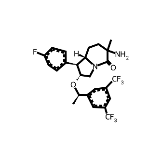 C[C@@H](O[C@H]1CN2C(=O)C(C)(N)CC[C@H]2[C@@H]1c1ccc(F)cc1)c1cc(C(F)(F)F)cc(C(F)(F)F)c1